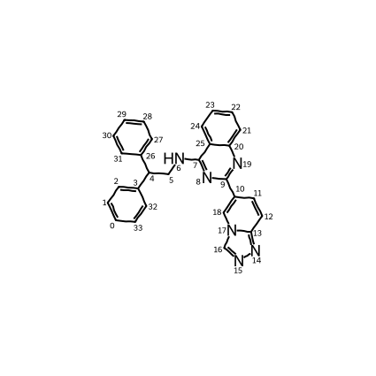 c1ccc(C(CNc2nc(-c3ccc4nncn4c3)nc3ccccc23)c2ccccc2)cc1